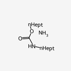 CCCCCCCNC(=O)OCCCCCCC.N